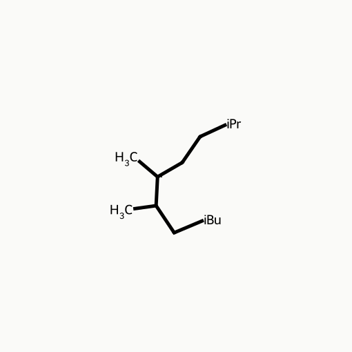 CCC(C)CC(C)[C](C)CCC(C)C